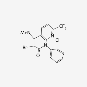 CNc1c(Br)c(=O)n(-c2ccccc2Cl)c2nc(C(F)(F)F)ccc12